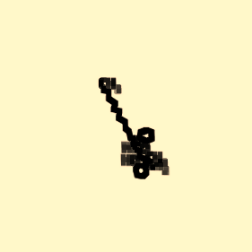 CCCCCCCCCCCCN(NC(=O)C(O)[C@H](C)C1(N)CCCCC1)c1ccccc1